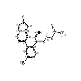 Cc1cn2ccc(-c3nc(C#N)ccc3/C(C=N)=C/NCC(F)C(F)(F)F)cc2n1